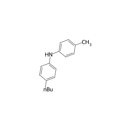 CCCCc1ccc(Nc2ccc(C)cc2)cc1